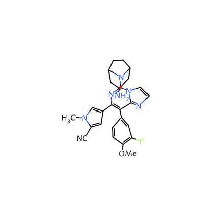 COc1ccc(-c2c(-c3cc(C#N)n(C)c3)nc(N3C4CCC3CC(N)C4)n3ccnc23)cc1F